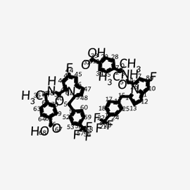 CC(C)(NC(=O)c1cc(F)cc2ccc(Cc3ccc(C(F)(F)F)cc3)n12)c1ccc(C(=O)O)cc1.C[C@H](NC(=O)c1cc(F)cc2ccc(Cc3ccc(C(F)(F)F)cc3)n12)c1ccc(C(=O)O)cc1